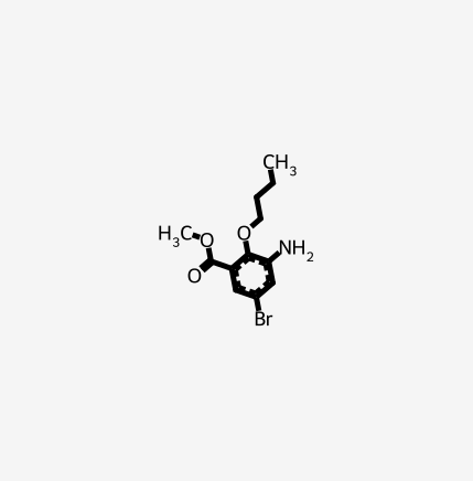 CCCCOc1c(N)cc(Br)cc1C(=O)OC